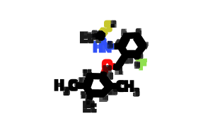 CCC(=S)Nc1cccc(F)c1COc1cc(C)c(CC)cc1C